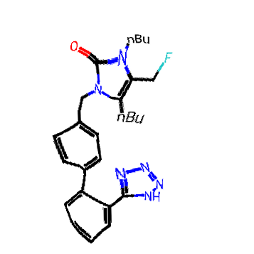 CCCCc1c(CF)n(CCCC)c(=O)n1Cc1ccc(-c2ccccc2-c2nnn[nH]2)cc1